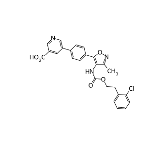 Cc1noc(-c2ccc(-c3cncc(C(=O)O)c3)cc2)c1NC(=O)OCCc1ccccc1Cl